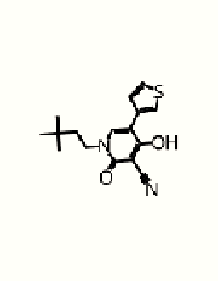 CC(C)(C)CCn1cc(-c2ccsc2)c(O)c(C#N)c1=O